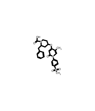 Cc1cn(-c2ccc(S(C)(=O)=O)cc2)c(=O)cc1OC1CCN(C(=O)O)C(Cc2ccccc2)C1